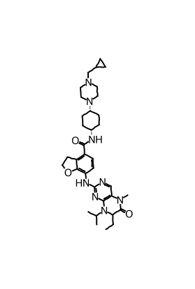 CCC1C(=O)N(C)c2cnc(Nc3ccc(C(=O)N[C@H]4CC[C@@H](N5CCN(CC6CC6)CC5)CC4)c4c3OCC4)nc2N1C(C)C